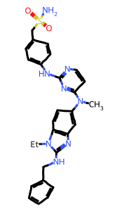 CCn1c(NCc2ccccc2)nc2cc(N(C)c3ccnc(Nc4ccc(CS(N)(=O)=O)cc4)n3)ccc21